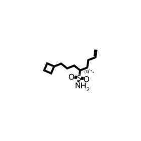 C=CC[C@H](C)C(CCCC1CCC1)S(N)(=O)=O